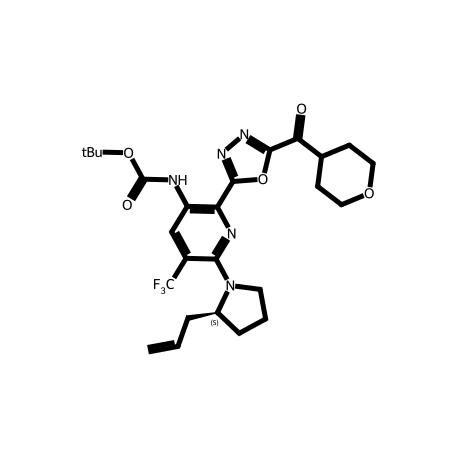 C=CC[C@@H]1CCCN1c1nc(-c2nnc(C(=O)C3CCOCC3)o2)c(NC(=O)OC(C)(C)C)cc1C(F)(F)F